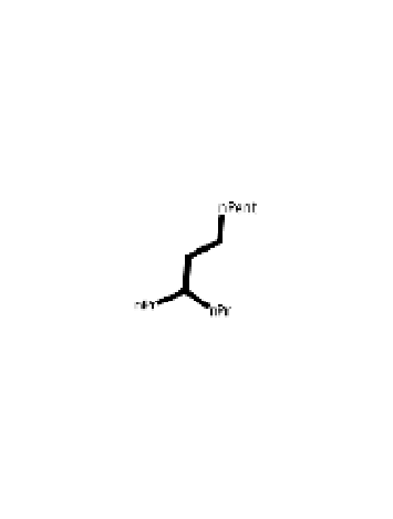 CCCCCCCC(CCC)CCC